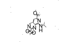 CO[C@H](C)c1cc2cnc(S(C)(=O)=O)nc2c(NC(C)C)n1